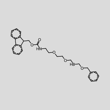 O=C(NCCOCCOCBCOCc1ccccc1)OCC1c2ccccc2-c2ccccc21